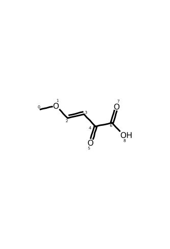 COC=CC(=O)C(=O)O